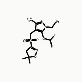 CC(C)Cn1nc(C(F)(F)F)c(CS(=O)(=O)C2=NOC(C)(C)C2)c1OC(F)F